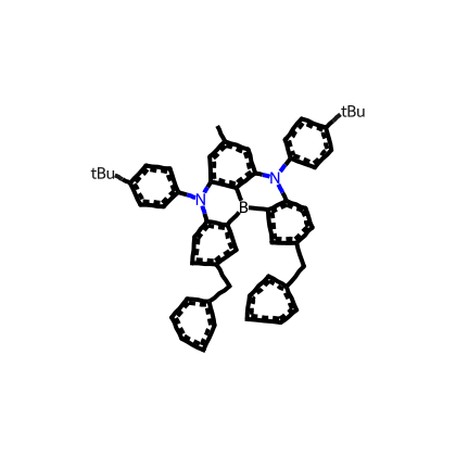 Cc1cc2c3c(c1)N(c1ccc(C(C)(C)C)cc1)c1ccc(Cc4ccccc4)cc1B3c1cc(Cc3ccccc3)ccc1N2c1ccc(C(C)(C)C)cc1